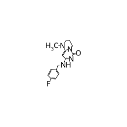 CN1CCCn2c1cc(NCc1ccc(F)cc1)nc2=O